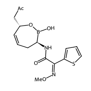 CO/N=C(\C(=O)N[C@H]1CC=C[C@H](CC(C)=O)OB1O)c1cccs1